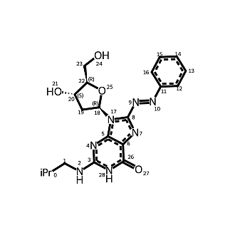 CC(C)CNc1nc2c(nc(N=Nc3ccccc3)n2[C@H]2C[C@H](O)[C@@H](CO)O2)c(=O)[nH]1